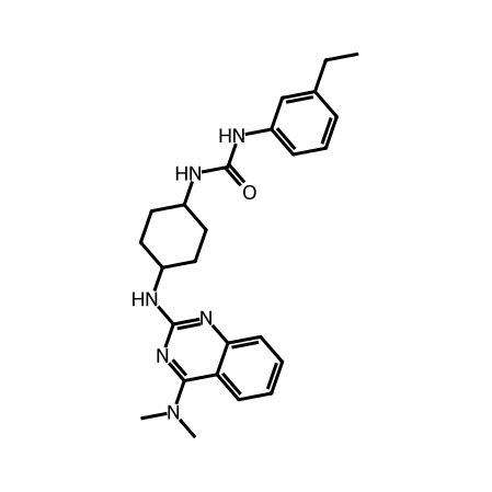 CCc1cccc(NC(=O)NC2CCC(Nc3nc(N(C)C)c4ccccc4n3)CC2)c1